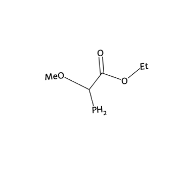 CCOC(=O)C(P)OC